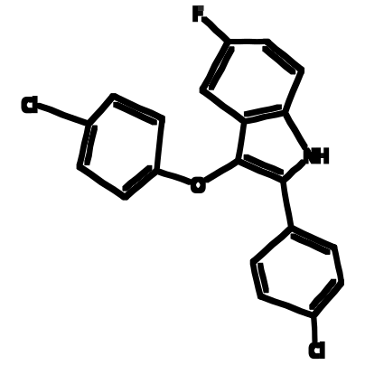 Fc1ccc2[nH]c(-c3ccc(Cl)cc3)c(Oc3ccc(Cl)cc3)c2c1